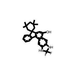 CC1(C)CC(C)(C)CC2(C1)c1ccccc1-c1c2cc(O)c2cc3c(cc12)NC(F)(F)N3